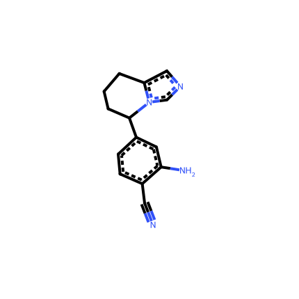 N#Cc1ccc(C2CCCc3cncn32)cc1N